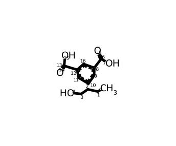 CCCCO.O=C(O)c1cccc(C(=O)O)c1